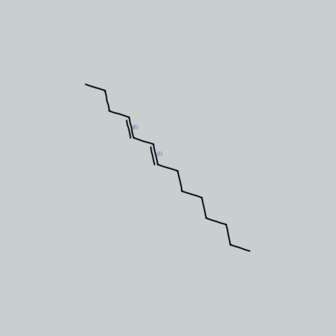 CCC/C=C/C=C/CCCCCCC